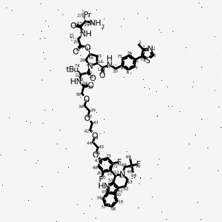 Cc1ncsc1-c1ccc(CNC(=O)[C@@H]2C[C@@H](OC(=O)[C@H](C)NC(=O)[C@@H](N)C(C)C)CN2C(=O)[C@@H](NC(=O)COCCOCCOCCOc2cc(F)c(C3c4[nH]c5ccccc5c4C[C@@H](C)N3CC(C)(C)F)c(F)c2)C(C)(C)C)cc1